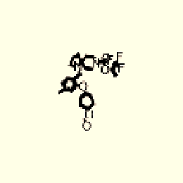 Cc1ccc(CN2CCCC23CCN(C(=O)OC(C)C(F)(F)F)CC3)c(OC2CCC(OC=O)CC2)c1